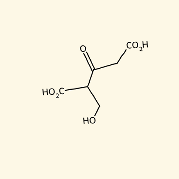 O=C(O)CC(=O)C(CO)C(=O)O